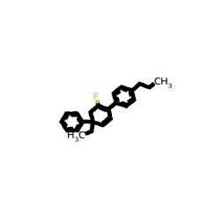 CCCc1ccc(C2=C(F)CC(CC)(c3ccccc3)C=C2)cc1